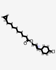 O=C(CCCCCCCCC1CC1)OC/C=C/C1CCC(Cl)CC1